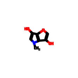 Cn1cc(O)c2occ(O)c21